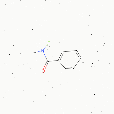 CN(F)C(=O)c1ccccc1